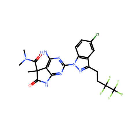 CN(C)C(=O)C1(C)C(=O)Nc2nc(-n3nc(CCC(F)(F)C(F)(F)F)c4cc(Cl)ccc43)nc(N)c21